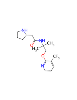 CC(C)(COc1ncccc1C(F)(F)F)NC(=O)CC1CCCN1